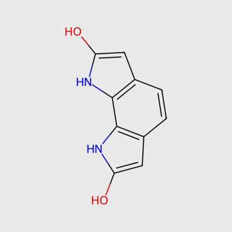 Oc1cc2ccc3cc(O)[nH]c3c2[nH]1